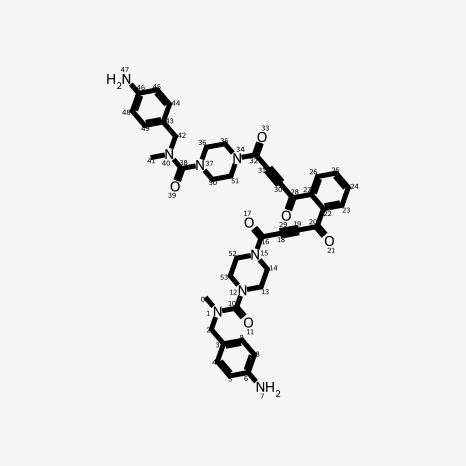 CN(Cc1ccc(N)cc1)C(=O)N1CCN(C(=O)C#CC(=O)c2ccccc2C(=O)C#CC(=O)N2CCN(C(=O)N(C)Cc3ccc(N)cc3)CC2)CC1